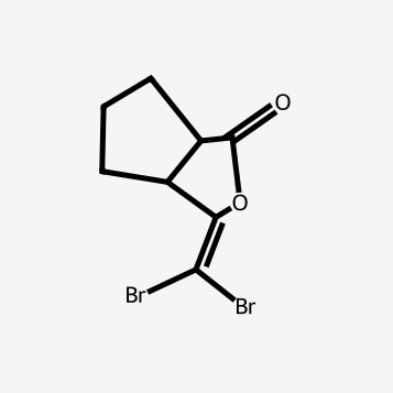 O=C1OC(=C(Br)Br)C2CCCC12